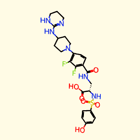 O=C(NC[C@H](NS(=O)(=O)c1ccc(O)cc1)C(=O)O)c1ccc(N2CCC(NC3=NCCCN3)CC2)c(F)c1F